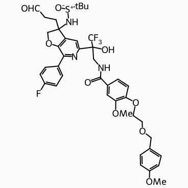 COc1ccc(COCCOc2ccc(C(=O)NCC(O)(c3cc4c(c(-c5ccc(F)cc5)n3)OCC4(CCC=O)N[S+]([O-])C(C)(C)C)C(F)(F)F)cc2OC)cc1